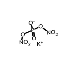 O=[N+]([O-])OP(=O)([O-])O[N+](=O)[O-].[K+]